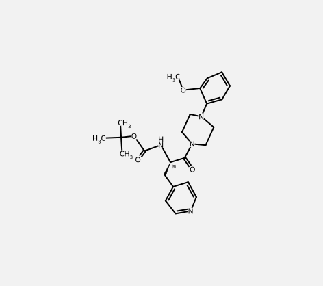 COc1ccccc1N1CCN(C(=O)[C@@H](Cc2ccncc2)NC(=O)OC(C)(C)C)CC1